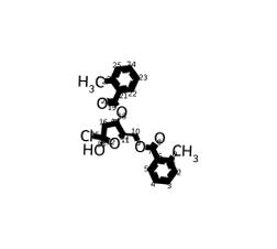 Cc1ccccc1C(=O)OC[C@H]1O[C@@](O)(Cl)C[C@@H]1OC(=O)c1ccccc1C